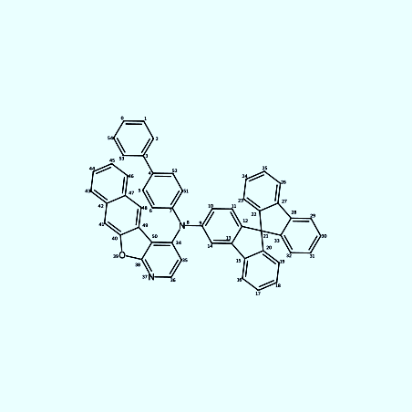 c1ccc(-c2ccc(N(c3ccc4c(c3)-c3ccccc3C43c4ccccc4-c4ccccc43)c3ccnc4oc5cc6ccccc6cc5c34)cc2)cc1